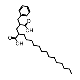 CCCCCCCCCCCCCCC(CC(Cc1ccccc1)C(=O)O)C(=O)O